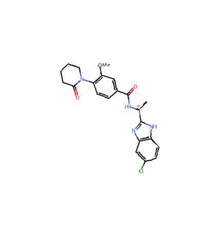 COc1cc(C(=O)N[C@@H](C)c2nc3cc(Cl)ccc3[nH]2)ccc1N1CCCCC1=O